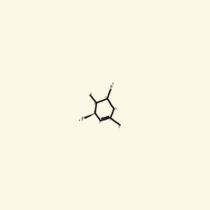 CC1=C[C@@H](F)C(C)C(F)C1